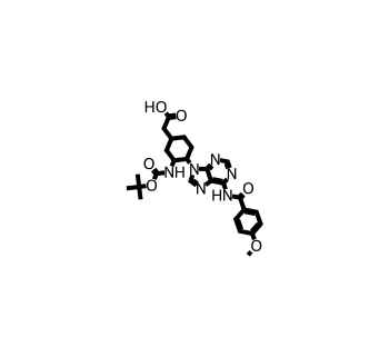 COc1ccc(C(=O)Nc2ncnc3c2ncn3C2CCC(CC(=O)O)CC2NC(=O)OC(C)(C)C)cc1